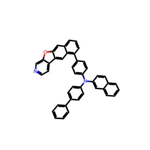 c1ccc(-c2ccc(N(c3ccc(-c4cccc5cc6oc7cnccc7c6cc45)cc3)c3ccc4ccccc4c3)cc2)cc1